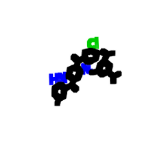 C=C(C)c1cc(CN2c3ccc(Cl)cc3C(=C)c3cc4c(cc32)C(=C)c2cc(C)ccc2N4)cc(C(=C)C)c1